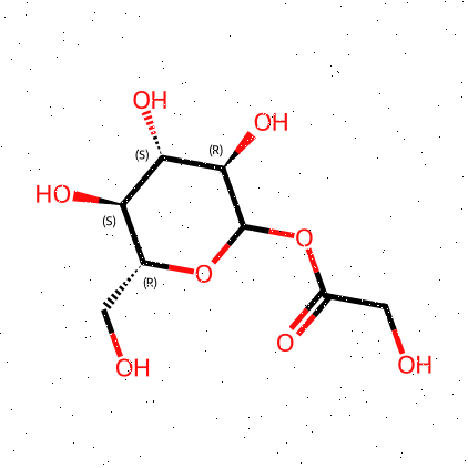 O=C(CO)OC1O[C@H](CO)[C@@H](O)[C@H](O)[C@H]1O